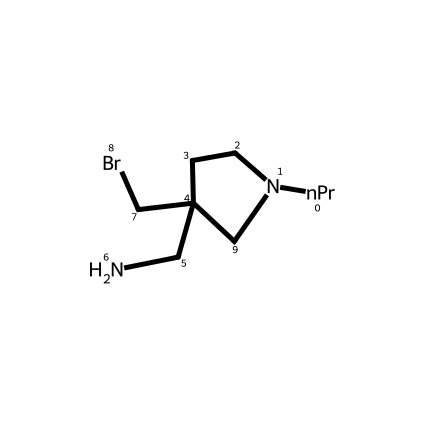 CCCN1CCC(CN)(CBr)C1